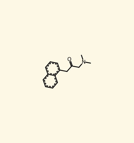 CN(C)CC(=O)Cc1cccc2ccccc12